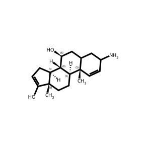 C[C@]12C=CC(N)CC1C[C@H](O)[C@@H]1[C@@H]2CC[C@]2(C)C(O)=CC[C@@H]12